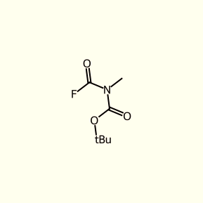 CN(C(=O)F)C(=O)OC(C)(C)C